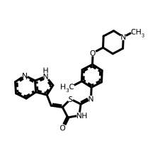 Cc1cc(OC2CCN(C)CC2)ccc1/N=C1/NC(=O)/C(=C/c2c[nH]c3ncccc23)S1